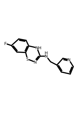 Fc1ccc2c(c1)SN=C(NCc1cccnc1)N2